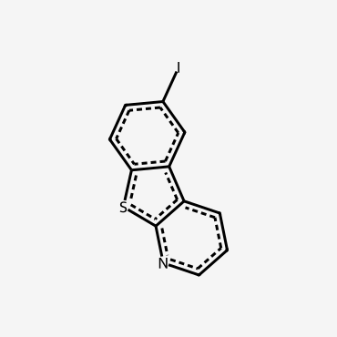 Ic1ccc2sc3ncccc3c2c1